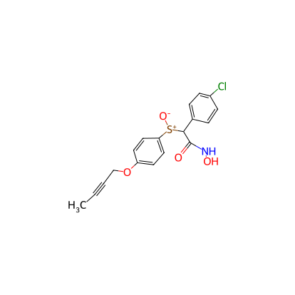 CC#CCOc1ccc([S+]([O-])C(C(=O)NO)c2ccc(Cl)cc2)cc1